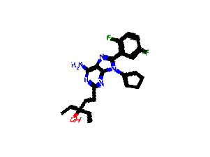 CCC(O)(CC)CCc1nc(N)c2nc(-c3cc(F)ccc3F)n(C3CCCC3)c2n1